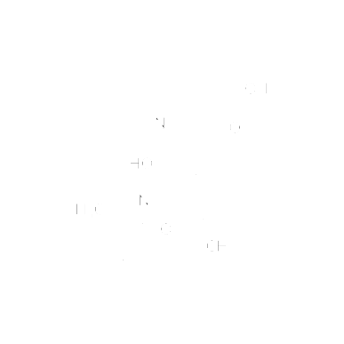 CCN(Cc1cc(C)ccc1-c1cc(CC(=O)O)cnc1O)C(=O)C1CC1